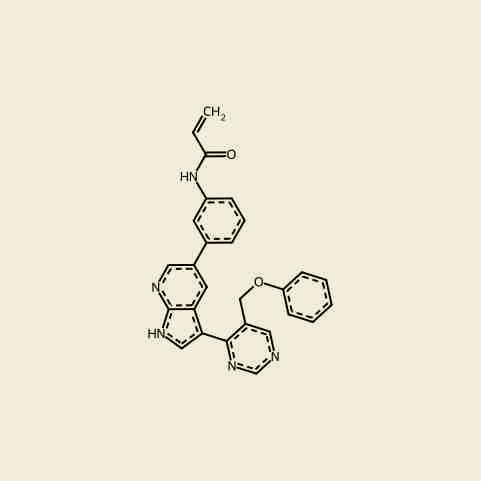 C=CC(=O)Nc1cccc(-c2cnc3[nH]cc(-c4ncncc4COc4ccccc4)c3c2)c1